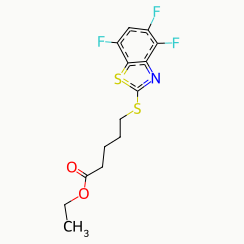 CCOC(=O)CCCCSc1nc2c(F)c(F)cc(F)c2s1